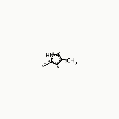 Cc1c[nH]c(F)c1